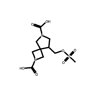 CS(=O)(=O)OCC1CN(C(=O)O)CC12CN(C(=O)O)C2